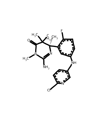 CN1C(=O)C(C)(C)[C@@](C)(c2cc(Nc3ccc(Cl)nc3)ccc2F)N=C1N